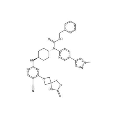 Cn1cc(-c2ccc(N(C(=O)NCc3ccccc3)[C@H]3CC[C@H](Nc4ncc(C#N)c(N5CC6(COC(=O)N6)C5)n4)CC3)nc2)cn1